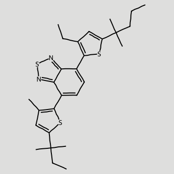 CCCC(C)(C)c1cc(CC)c(-c2ccc(-c3sc(C(C)(C)CC)cc3C)c3nsnc23)s1